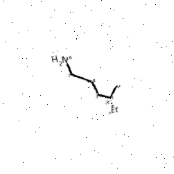 CC[C@@H](C)CCCN